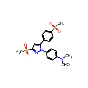 CN(C=O)c1ccc(-n2nc(S(C)(=O)=O)cc2-c2ccc(S(C)(=O)=O)cc2)cc1